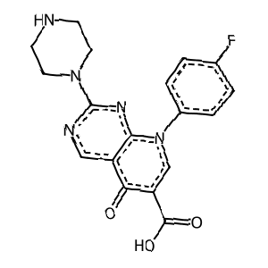 O=C(O)c1cn(-c2ccc(F)cc2)c2nc(N3CCNCC3)ncc2c1=O